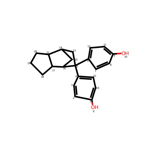 Oc1ccc(C2(c3ccc(O)cc3)CC3CC2C2CCCC32)cc1